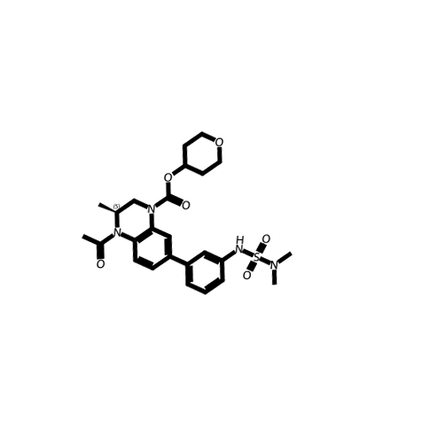 CC(=O)N1c2ccc(-c3cccc(NS(=O)(=O)N(C)C)c3)cc2N(C(=O)OC2CCOCC2)C[C@@H]1C